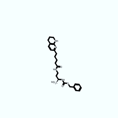 O=C(CCCCc1ccc2c(n1)NCCC2)NCC[C@@H](NC(=O)OCc1ccccc1)C(=O)O